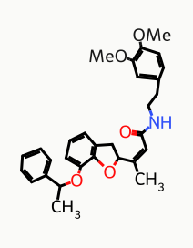 COc1ccc(CCNC(=O)/C=C(/C)C2Cc3cccc(OC(C)c4ccccc4)c3O2)cc1OC